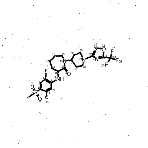 CS(=O)(=O)c1cc(F)c(NC2CCCCN(C3CCN(c4noc(C(F)(F)F)n4)CC3)C2=O)cc1F